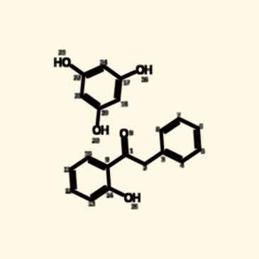 O=C(Cc1ccccc1)c1ccccc1O.Oc1cc(O)cc(O)c1